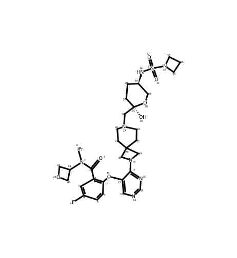 CC(C)N(C(=O)c1cc(F)ccc1Oc1cncnc1N1CC2(CCN(C[C@@]3(O)CC[C@@H](NS(=O)(=O)N4CCC4)CO3)CC2)C1)C1COC1